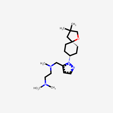 CN(CCN(C)C(=O)O)Cc1ccnn1[C@H]1CC[C@]2(CC1)CC(C)(C)CO2